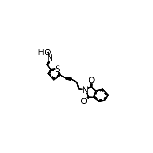 O=C1c2ccccc2C(=O)N1CCC#Cc1ccc(C=NO)s1